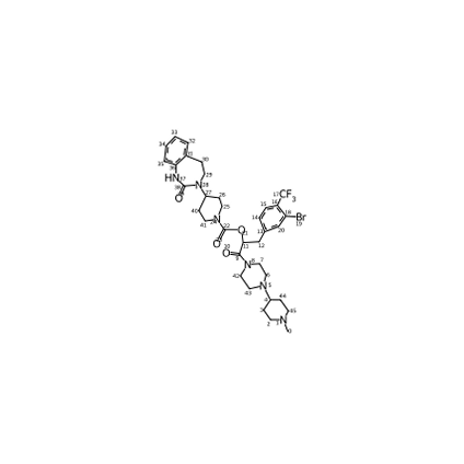 CN1CCC(N2CCN(C(=O)C(Cc3ccc(C(F)(F)F)c(Br)c3)OC(=O)N3CCC(N4CCc5ccccc5NC4=O)CC3)CC2)CC1